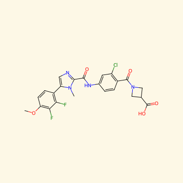 COc1ccc(-c2cnc(C(=O)Nc3ccc(C(=O)N4CC(C(=O)O)C4)c(Cl)c3)n2C)c(F)c1F